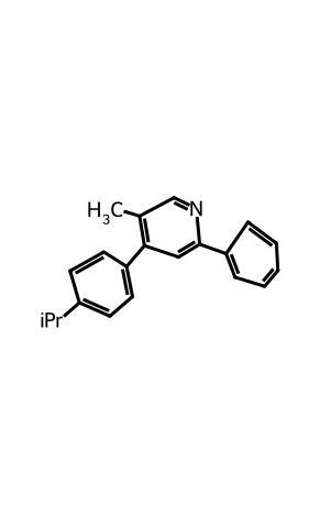 Cc1cnc(-c2ccccc2)cc1-c1ccc(C(C)C)cc1